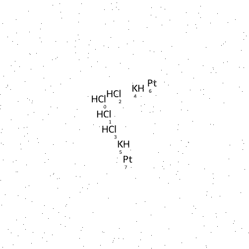 Cl.Cl.Cl.Cl.[KH].[KH].[Pt].[Pt]